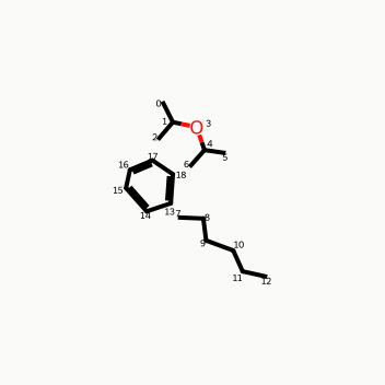 CC(C)OC(C)C.CCCCCC.c1ccccc1